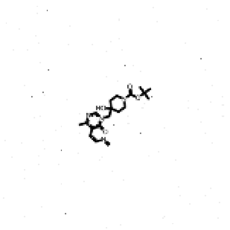 C=N/C=C\c1c(C)ncn(CC2(O)CCN(C(=O)OC(C)(C)C)CC2)c1=O